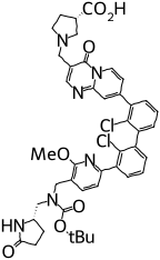 COc1nc(-c2cccc(-c3cccc(-c4ccn5c(=O)c(CN6CC[C@H](C(=O)O)C6)cnc5c4)c3Cl)c2Cl)ccc1CN(C[C@@H]1CCC(=O)N1)C(=O)OC(C)(C)C